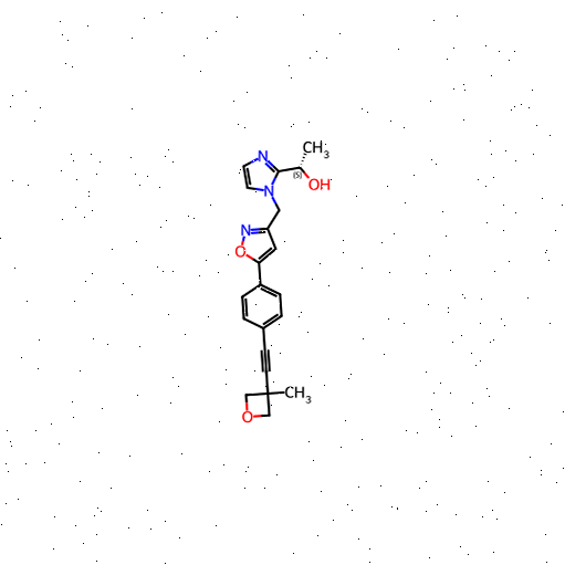 C[C@H](O)c1nccn1Cc1cc(-c2ccc(C#CC3(C)COC3)cc2)on1